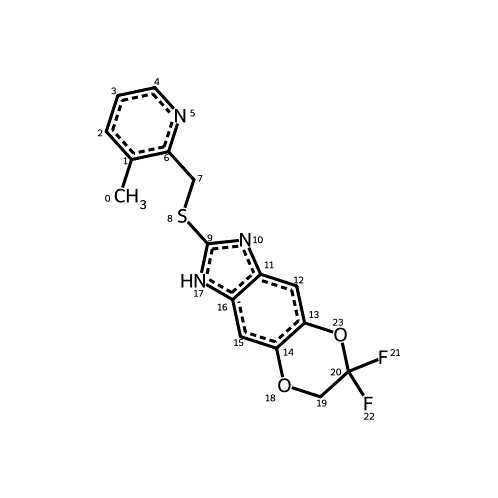 Cc1cccnc1CSc1nc2cc3c(cc2[nH]1)OCC(F)(F)O3